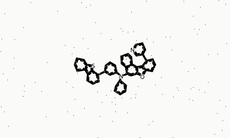 c1ccc(N(c2cccc(-c3cccc4c3sc3ccccc34)c2)c2cc3oc4cccc(-c5cccnc5)c4c3c3ccccc23)cc1